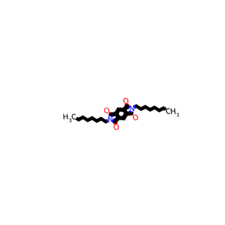 CCCCCCCCn1c(=O)c2cc3c(=O)n(CCCCCCCC)c(=O)c3cc2c1=O